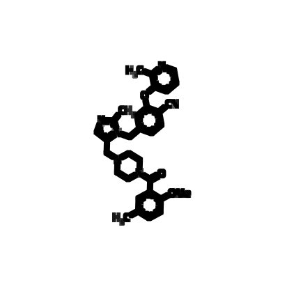 COc1ccc(C)cc1C(=O)N1CCN(Cc2cnc(C)n2Cc2ccc(C#N)c(Oc3cccnc3C)c2)CC1